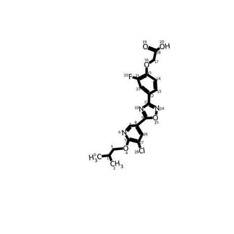 CC(C)COc1ncc(-c2nc(-c3ccc(OCC(=O)O)c(F)c3)no2)cc1Cl